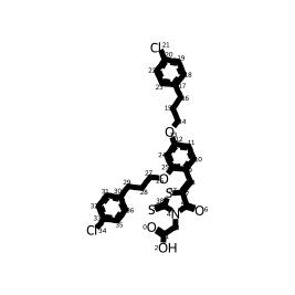 O=C(O)CN1C(=O)C(=Cc2ccc(OCCCc3ccc(Cl)cc3)cc2OCCCc2ccc(Cl)cc2)SC1=S